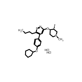 CCCCc1nnc(O[C@@H]2CCN(C)C[C@@H]2F)cc1-c1ccc(OC2CCCCC2)cc1.Cl.Cl